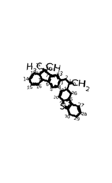 C=C(Cc1ccc2c(c1)C(C)(C)C1C=CC=CC21)C1C=Cc2sc3c(c2C1)C=CCC3